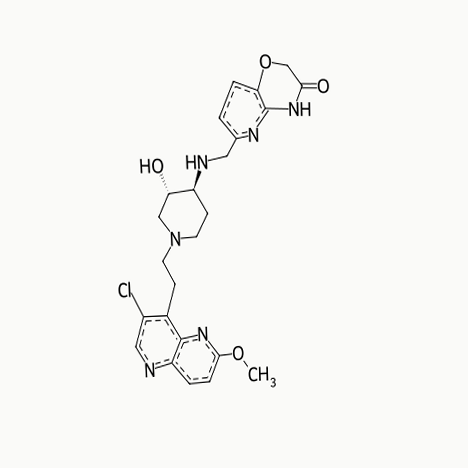 COc1ccc2ncc(Cl)c(CCN3CC[C@H](NCc4ccc5c(n4)NC(=O)CO5)[C@@H](O)C3)c2n1